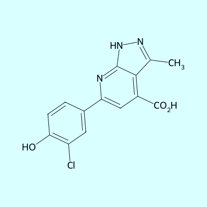 Cc1n[nH]c2nc(-c3ccc(O)c(Cl)c3)cc(C(=O)O)c12